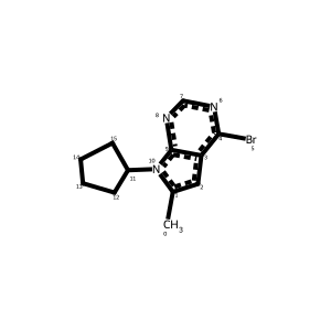 Cc1cc2c(Br)ncnc2n1C1CCCC1